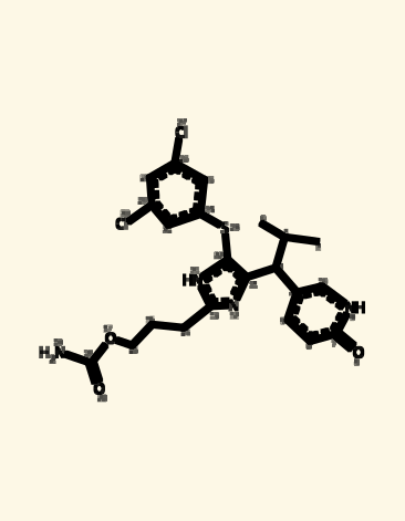 CC(C)C(c1ccc(=O)[nH]c1)c1nc(CCCOC(N)=O)[nH]c1Sc1cc(Cl)cc(Cl)c1